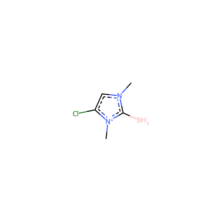 [BH3-]c1n(C)cc(Cl)[n+]1C